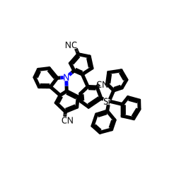 N#Cc1ccc(-c2cccc([Si](c3ccccc3)(c3ccccc3)c3ccccc3)c2C#N)c(-n2c3ccccc3c3cc(C#N)ccc32)c1